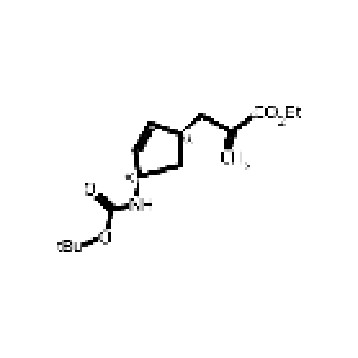 C=C(C[C@@H]1C=C[C@H](NC(=O)OC(C)(C)C)C1)C(=O)OCC